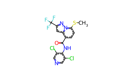 CSc1ccc(C(=O)Nc2c(Cl)cncc2Cl)c2cc(C(F)(F)F)nn12